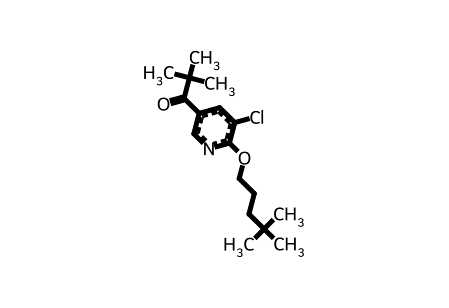 CC(C)(C)CCCOc1ncc(C(=O)C(C)(C)C)cc1Cl